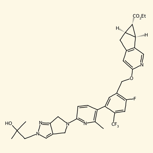 CCOC(=O)[C@H]1[C@@H]2Cc3cc(OCc4cc(-c5ccc(N6Cc7cn(CC(C)(C)O)nc7C6)nc5C)c(C(F)(F)F)cc4F)ncc3[C@@H]21